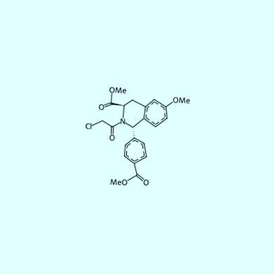 COC(=O)c1ccc([C@H]2c3ccc(OC)cc3C[C@H](C(=O)OC)N2C(=O)CCl)cc1